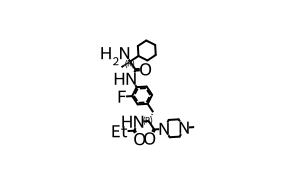 CCC(=O)N[C@H](Cc1ccc(NC(=O)[C@](C)(N)C2CCCCC2)c(F)c1)C(=O)N1CCN(C)CC1